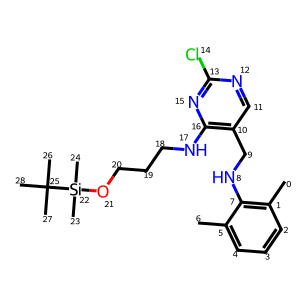 Cc1cccc(C)c1NCc1cnc(Cl)nc1NCCCO[Si](C)(C)C(C)(C)C